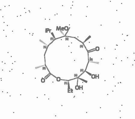 CC[C@H]1OC(=O)[C@H](C)C[C@H](C)[C@@H](C(C)C)[C@](C)(OC)C[C@@H](C)C(=O)[C@H](C)[C@@H](O)[C@]1(C)O